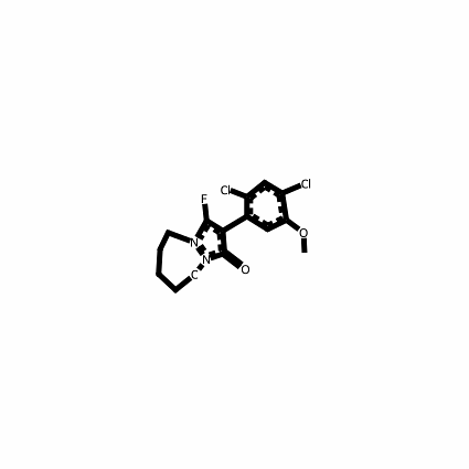 COc1cc(-c2c(F)n3n(c2=O)CCCCC3)c(Cl)cc1Cl